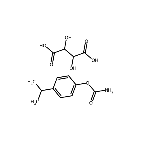 CC(C)c1ccc(OC(N)=O)cc1.O=C(O)C(O)C(O)C(=O)O